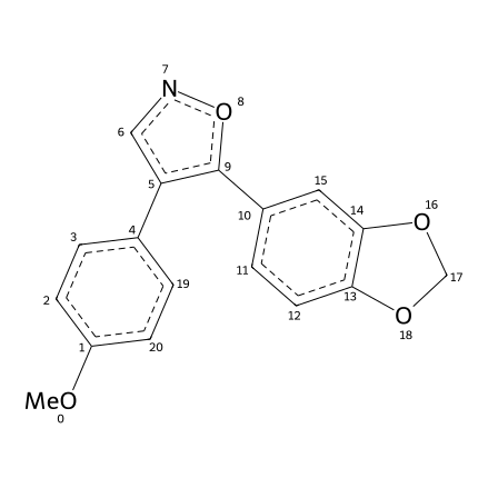 COc1ccc(-c2cnoc2-c2ccc3c(c2)OCO3)cc1